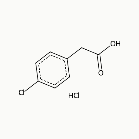 Cl.O=C(O)Cc1ccc(Cl)cc1